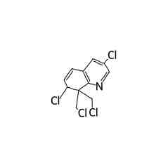 ClCC1(CCl)c2ncc(Cl)cc2C=CC1Cl